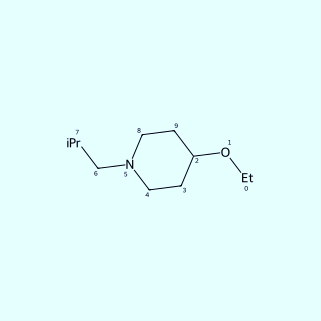 CCOC1CCN(CC(C)C)CC1